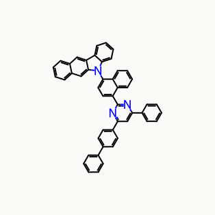 c1ccc(-c2ccc(-c3cc(-c4ccccc4)nc(-c4ccc(-n5c6ccccc6c6cc7ccccc7cc65)c5ccccc45)n3)cc2)cc1